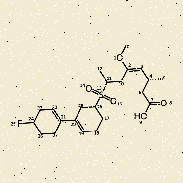 CO/C(=C/[C@H](C)CC(=O)O)CC(C)S(=O)(=O)C1CCC=C(C2=CCC(F)CC2)C1